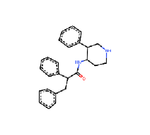 O=C(NC1CCNCC1c1ccccc1)C(Cc1ccccc1)c1ccccc1